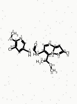 COc1ncc(NC(=O)Nc2cnc3cc(Cl)nn3c2C(C)OC)cc1Cl